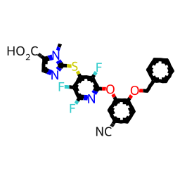 Cn1c(C(=O)O)cnc1Sc1c(F)c(F)nc(Oc2cc(C#N)ccc2OCc2ccccc2)c1F